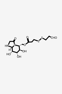 O=CCCSSCCC(=O)OC[C@@H]1[C@@H](O)[C@H](O)[C@H](O)[C@H]2NCC(=O)N12